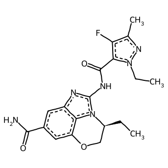 CC[C@H]1COc2cc(C(N)=O)cc3nc(NC(=O)c4c(F)c(C)nn4CC)n1c23